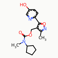 Cc1noc(-c2ccc(O)cn2)c1COC(=O)N(C)C1CCCC1